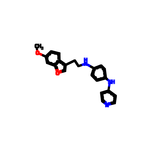 COc1ccc2c(CCNc3ccc(Nc4ccncc4)cc3)coc2c1